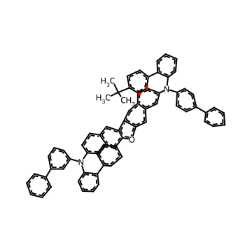 CC(C)(C)c1ccc(-c2ccccc2N(c2ccc(-c3ccccc3)cc2)c2ccc3cc4c(cc3c2)oc2cc3cc(N(c5cccc(-c6ccccc6)c5)c5ccccc5-c5ccccc5)ccc3cc24)cc1